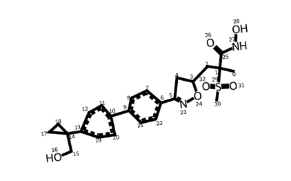 CC(CC1CC(c2ccc(-c3ccc(C4(CO)CC4)cc3)cc2)=NO1)(C(=O)NO)S(C)(=O)=O